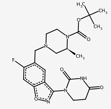 C[C@H]1CN(Cc2cc3c(N4CCC(=O)NC4=O)noc3cc2F)CCN1C(=O)OC(C)(C)C